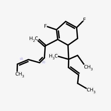 C=C(/C=C\C=C/C)C1=C(F)C=C(F)CC1C(C)(C=CCC)CC